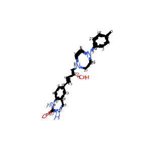 Cc1ccc(N2CCN(C[C@H](O)/C=C/c3ccc4c(c3)CNC(=O)N4)CC2)cc1